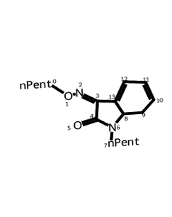 CCCCCON=C1C(=O)N(CCCCC)C2CC=CC=C12